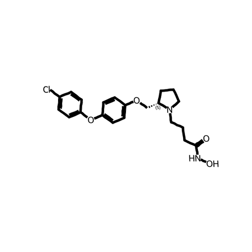 O=C(CCCN1CCC[C@H]1COc1ccc(Oc2ccc(Cl)cc2)cc1)NO